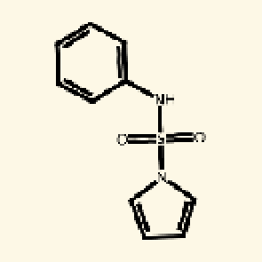 O=S(=O)(Nc1ccccc1)n1cccc1